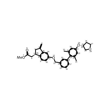 C=C1C[C@H](CC(=O)OC)c2ccc(OCc3cccc(-c4c(C)cc(O[C@@H]5CCOC5)cc4C)c3)cc21